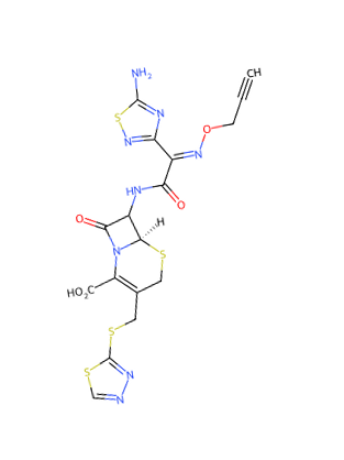 C#CCO/N=C(/C(=O)NC1C(=O)N2C(C(=O)O)=C(CSc3nncs3)CS[C@H]12)c1nsc(N)n1